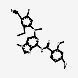 CCc1cc(C#N)c(F)cc1N(C)c1cc2c(ncn2C)c(NC(=O)c2ccc(OC)cc2OC)n1